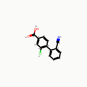 N#Cc1ccccc1-c1ccc(C(=O)O)cc1Cl